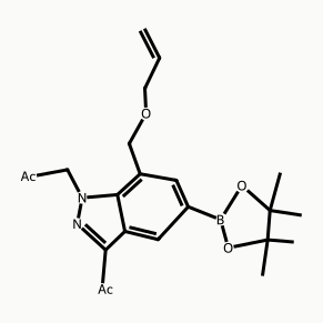 C=CCOCc1cc(B2OC(C)(C)C(C)(C)O2)cc2c(C(C)=O)nn(CC(C)=O)c12